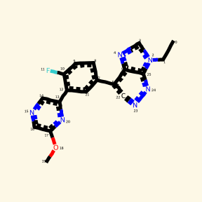 CCn1cnc2c(-c3ccc(F)c(-c4cncc(OC)n4)c3)cnnc21